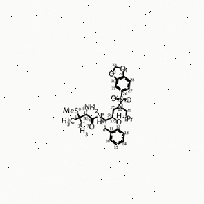 CSC(C)(C)[C@H](N)C(=O)N[C@@H](Cc1ccccc1)[C@H](O)CN(CC(C)C)S(=O)(=O)c1ccc2c(c1)OCO2